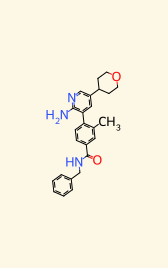 Cc1cc(C(=O)NCc2ccccc2)ccc1-c1cc(C2CCOCC2)cnc1N